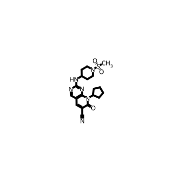 CS(=O)(=O)N1CCC(Nc2ncc3cc(C#N)c(=O)n(C4CCCC4)c3n2)CC1